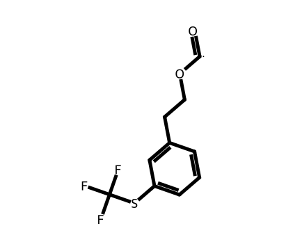 O=[C]OCCc1cccc(SC(F)(F)F)c1